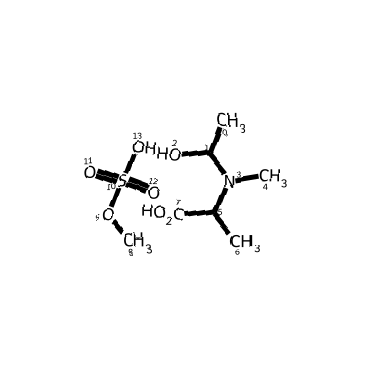 CC(O)N(C)C(C)C(=O)O.COS(=O)(=O)O